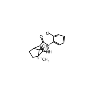 CC1(C)C2CC[C@]1(C)c1[nH]n(-c3ccccc3Cl)c(=O)c12